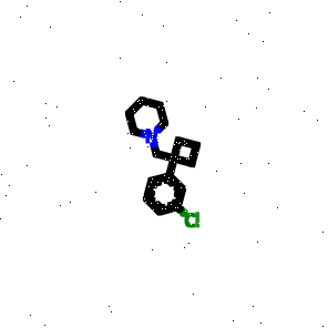 Clc1cccc(C2(CN3CCCCC3)CCC2)c1